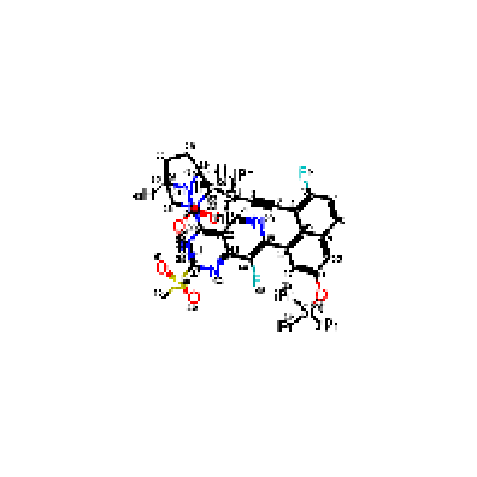 CC(C)[Si](C#Cc1c(F)ccc2cc(O[Si](C(C)C)(C(C)C)C(C)C)cc(-c3ncc4c(N5C[C@H]6CC[C@@H](C5)N6C(=O)OC(C)(C)C)nc(S(C)(=O)=O)nc4c3F)c12)(C(C)C)C(C)C